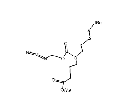 COC(=O)CCCN(CCSSC(C)(C)C)C(=O)OCN=[N+]=[N-]